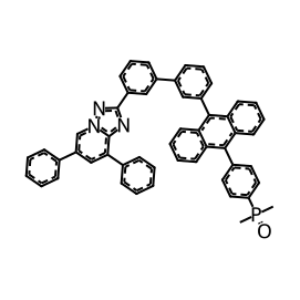 CP(C)(=O)c1ccc(-c2c3ccccc3c(-c3cccc(-c4cccc(-c5nc6c(-c7ccccc7)cc(-c7ccccc7)cn6n5)c4)c3)c3ccccc23)cc1